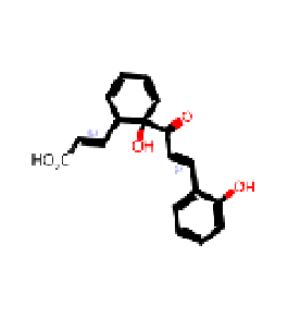 O=C(O)/C=C/C1C=CC=CC1(O)C(=O)/C=C/c1ccccc1O